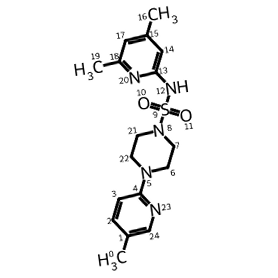 Cc1ccc(N2CCN(S(=O)(=O)Nc3cc(C)cc(C)n3)CC2)nc1